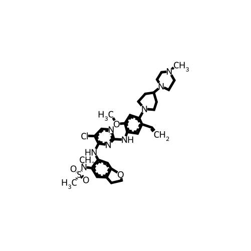 C=Cc1cc(Nc2ncc(Cl)c(Nc3cc4c(cc3N(C)S(C)(=O)=O)CCO4)n2)c(OC)cc1N1CCC(N2CCN(C)CC2)CC1